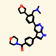 CN(C)Cc1cc(-c2cc3c(-c4ccc(C(=O)N5CCOCC5)cc4)c[nH]c3nn2)ccc1C1CCOC1